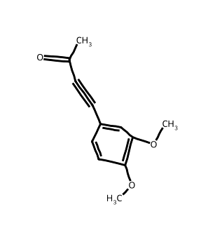 COc1ccc(C#CC(C)=O)cc1OC